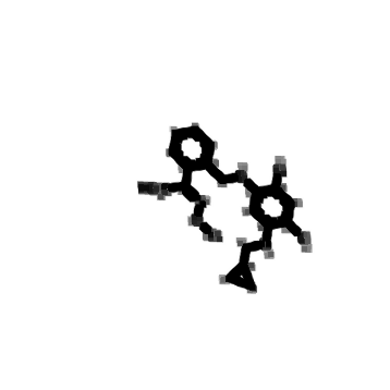 CCON=C(C(=O)O)c1ccccc1COc1cc(OCC2CC2)c(Cl)cc1Cl